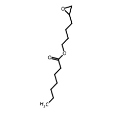 CCCCCCC(=O)OCCCCC1CO1